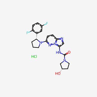 Cl.O=C(Nc1cnc2ccc(N3CCC[C@@H]3c3cc(F)ccc3F)nn12)N1CC[C@H](O)C1